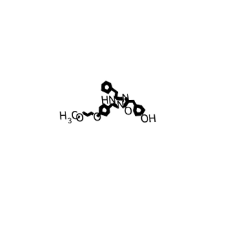 COCCCOc1ccc(-c2cn3c(=O)c(Cc4ccc(O)cc4)nc-3c(Cc3ccccc3)[nH]2)cc1